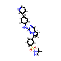 CC(C)(C)NS(=O)(=O)c1cccc(-c2ccc3cnc(Nc4ccc(-c5cccnc5)cc4)nn23)c1